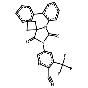 N#Cc1ncc(N2C(=O)C3(CCC3)N(c3ccccc3-c3ccccc3)C2=S)cc1C(F)(F)F